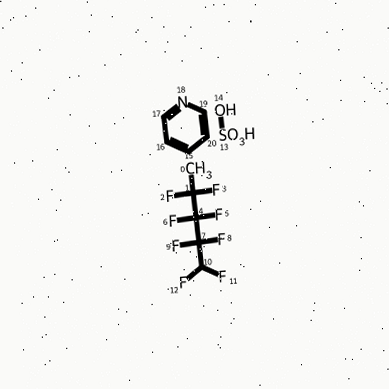 CC(F)(F)C(F)(F)C(F)(F)C(F)F.O=S(=O)(O)O.c1ccncc1